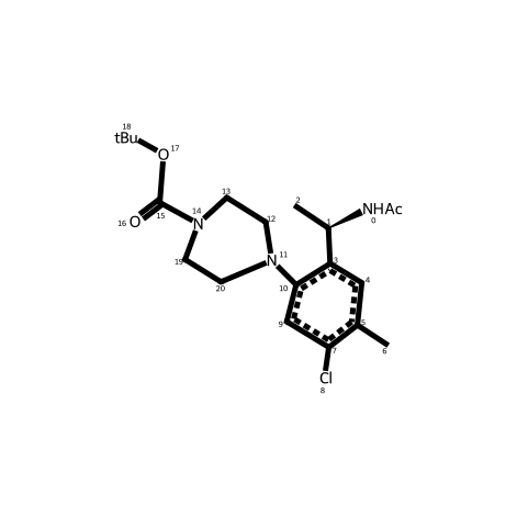 CC(=O)N[C@H](C)c1cc(C)c(Cl)cc1N1CCN(C(=O)OC(C)(C)C)CC1